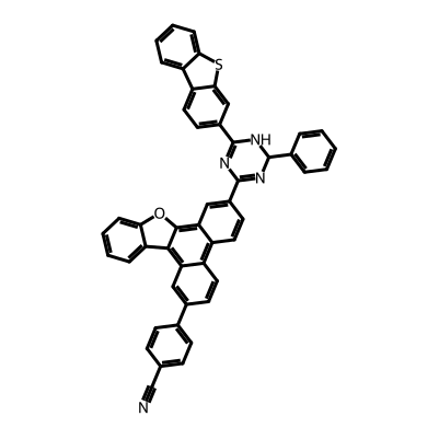 N#Cc1ccc(-c2ccc3c4ccc(C5=NC(c6ccccc6)NC(c6ccc7c(c6)sc6ccccc67)=N5)cc4c4oc5ccccc5c4c3c2)cc1